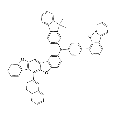 CC1(C)c2ccccc2-c2ccc(N(c3ccc(-c4cccc5c4oc4ccccc45)cc3)c3ccc4oc5c(C6=Cc7ccccc7CC6)c6c7c(oc6cc5c4c3)CCC=C7)cc21